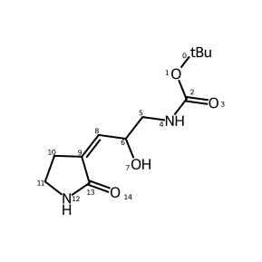 CC(C)(C)OC(=O)NCC(O)C=C1CCNC1=O